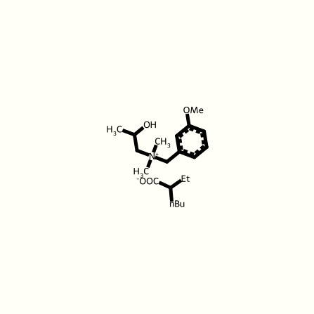 CCCCC(CC)C(=O)[O-].COc1cccc(C[N+](C)(C)CC(C)O)c1